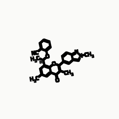 Cc1cc([C@@H](C)Oc2ccccc2C#N)c2oc(-c3ccc4nn(C)cc4c3)c(C)c(=O)c2c1